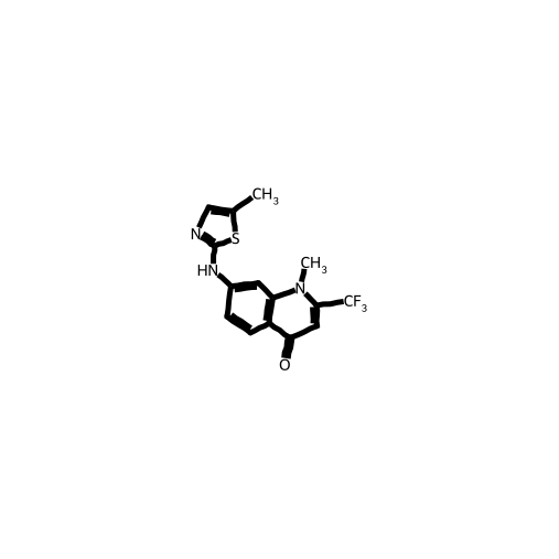 Cc1cnc(Nc2ccc3c(=O)cc(C(F)(F)F)n(C)c3c2)s1